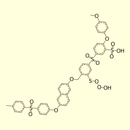 COc1ccc(Oc2ccc(S(=O)(=O)c3ccc(COc4ccc5cc(Oc6ccc(S(=O)(=O)c7ccc(C)cc7)cc6)ccc5c4)c(SOOO)c3)cc2S(=O)(=O)O)cc1